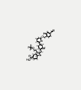 N#Cc1ccc(COc2cccc(-c3ccc(Cc4nc5ccc(C(=O)O)cc5n4CCOC(F)(F)F)c(F)c3)n2)c(F)c1